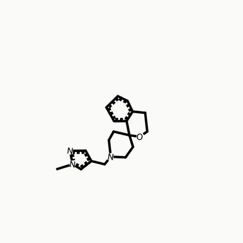 Cn1cc(CN2CCC3(CC2)OCCc2ccccc23)cn1